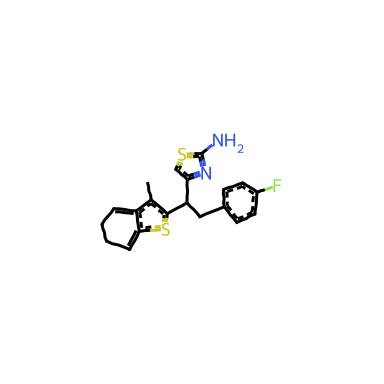 Cc1c(C(Cc2ccc(F)cc2)c2csc(N)n2)sc2c1=CCCC=2